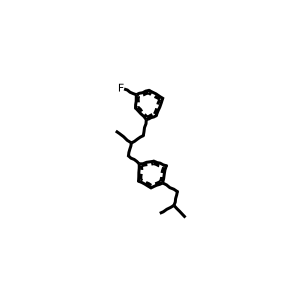 CC(C)Cc1ccc(CC(C)Cc2cccc(F)c2)cc1